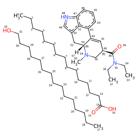 CCCCCCCCCCCCCCC(=O)O.CCCCCCCCCCCCCCCO.CCN(CC)C(=O)[C@@H]1C=C2c3cccc4[nH]cc(c34)C[C@H]2N(C)C1